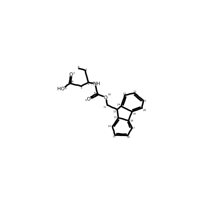 CCC(CC(=O)O)NC(=O)OCC1c2ccccc2-c2ccccc21